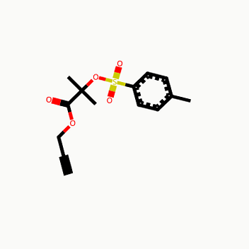 C#CCOC(=O)C(C)(C)OS(=O)(=O)c1ccc(C)cc1